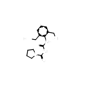 CCc1cccc(CC)c1NC(=O)NC(=N)N1CCCC1